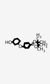 CC1(C)OB(c2ccc(OC3CCCC(O)C3)cc2)OC1(C)C